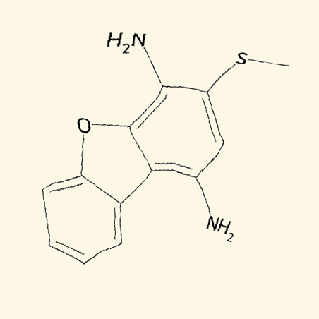 CSc1cc(N)c2c(oc3ccccc32)c1N